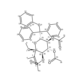 CO[C@@]1(C(C)=O)O[C@H](C(Oc2ccccc2)(c2ccccc2)c2ccccc2)[C@@H](OC(C)=O)[C@H](OC(C)=O)[C@H]1OC(C)=O